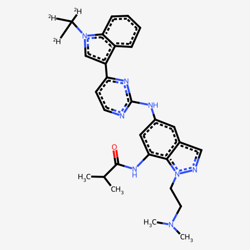 [2H]C([2H])([2H])n1cc(-c2ccnc(Nc3cc(NC(=O)C(C)C)c4c(cnn4CCN(C)C)c3)n2)c2ccccc21